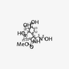 COC(=O)c1[nH]c(/C=N/CO)c(-c2ccc(CO)c(CO)c2CO)c1C1CC1